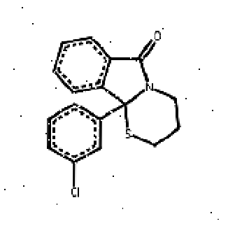 O=C1c2ccccc2C2(c3cccc(Cl)c3)SCCCN12